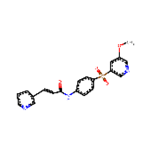 COc1cncc(S(=O)(=O)c2ccc(NC(=O)C=Cc3cccnc3)cc2)c1